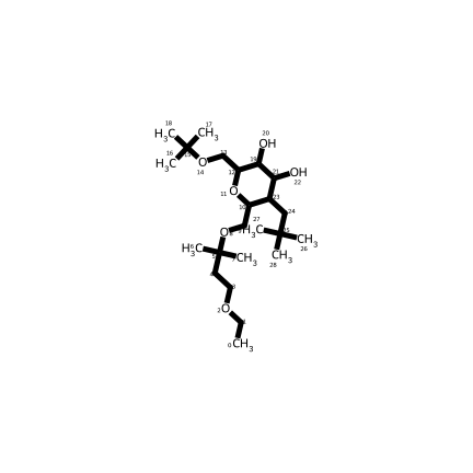 CCOCCC(C)(C)OCC1OC(COC(C)(C)C)C(O)C(O)C1CC(C)(C)C